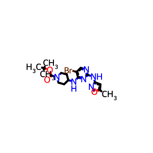 Cc1cc(Nc2ncc(Br)c(NC3CCN(C(=O)OC(C)(C)C)CC3)n2)no1